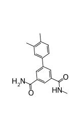 CNC(=O)c1cc(C(N)=O)cc(-c2ccc(C)c(C)c2)c1